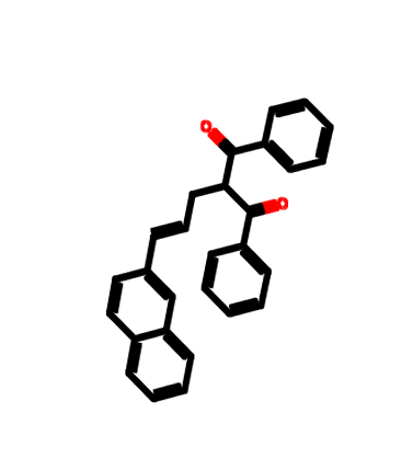 O=C(c1ccccc1)C(CC=Cc1ccc2ccccc2c1)C(=O)c1ccccc1